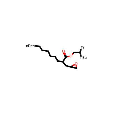 CCCCCCCCCCCCCCCCC(CC1CO1)C(=O)OCC(CC)CCCC